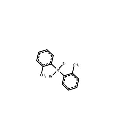 Cc1cccc[c]1[Hf]([Br])([Br])[c]1ccccc1C